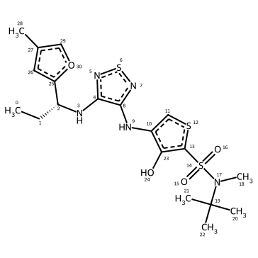 CC[C@@H](Nc1nsnc1Nc1csc(S(=O)(=O)N(C)C(C)(C)C)c1O)c1cc(C)co1